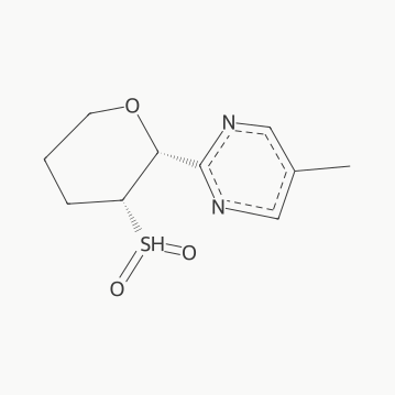 Cc1cnc([C@H]2OCCC[C@H]2[SH](=O)=O)nc1